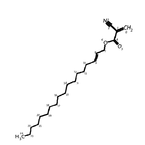 C=C(C#N)C(=O)OCC=CCCCCCCCCCCCCCCC